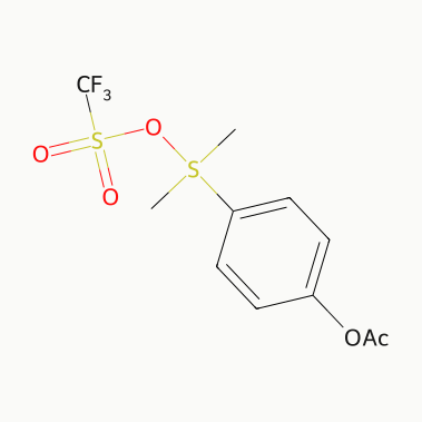 CC(=O)Oc1ccc(S(C)(C)OS(=O)(=O)C(F)(F)F)cc1